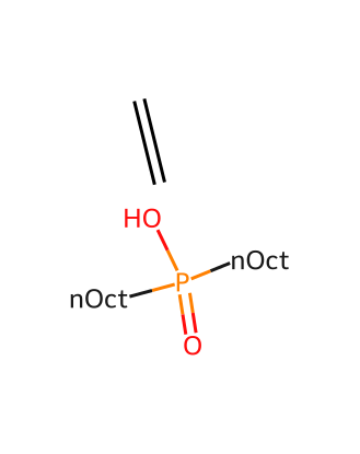 C=C.CCCCCCCCP(=O)(O)CCCCCCCC